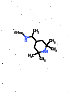 CCCCCCNC(C)C1CC(C)(C)NC(C)(C)C1